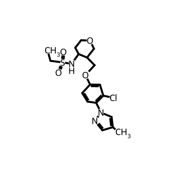 CCS(=O)(=O)NC1CCOCC1COc1ccc(-n2cc(C)cn2)c(Cl)c1